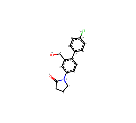 O=C1CCCN1c1ccc(-c2ccc(Cl)cc2)c(CO)c1